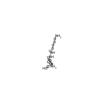 CCc1c(-c2ccc(C(=O)NCCCNC(=O)CCOCCOCCOCCOCCN)nc2)cnc(N)c1-c1ccc(O)cc1